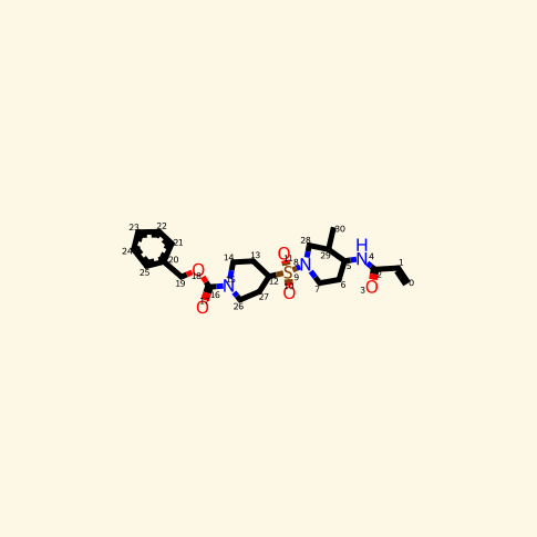 C=CC(=O)NC1CCN(S(=O)(=O)C2CCN(C(=O)OCc3ccccc3)CC2)CC1C